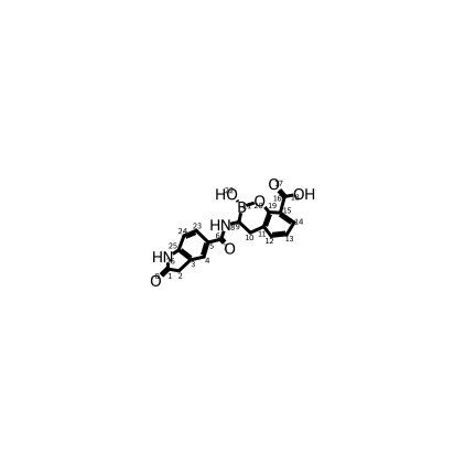 O=C1Cc2cc(C(=O)NC3Cc4cccc(C(=O)O)c4OB3O)ccc2N1